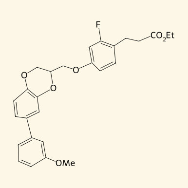 CCOC(=O)CCc1ccc(OCC2COc3ccc(-c4cccc(OC)c4)cc3O2)cc1F